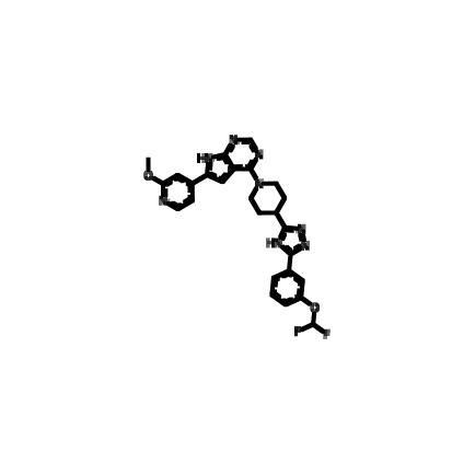 COc1cc(-c2cc3c(N4CCC(c5nnc(-c6cccc(OC(F)F)c6)[nH]5)CC4)ncnc3[nH]2)ccn1